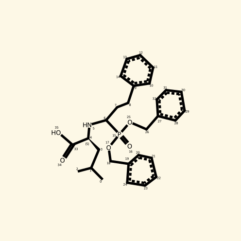 CC(C)C[C@H](NC(CCc1ccccc1)P(=O)(OCc1ccccc1)OCc1ccccc1)C(=O)O